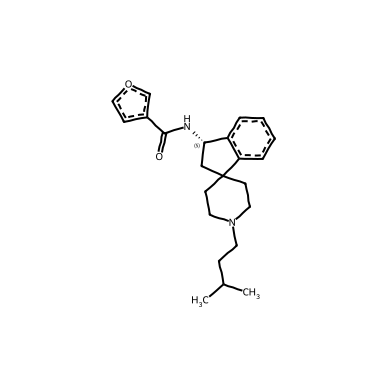 CC(C)CCN1CCC2(CC1)C[C@H](NC(=O)c1ccoc1)c1ccccc12